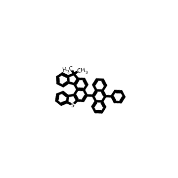 CC1(C)c2ccccc2-c2c1ccc1c(-c3c4ccccc4c(-c4ccccc4)c4ccccc34)cc3sc4ccccc4c3c21